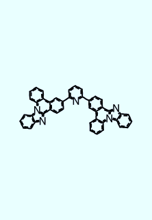 c1cc(-c2ccc3c(c2)c2ccccc2n2c4ccccc4nc32)nc(-c2ccc3c(c2)c2ccccc2n2c4ccccc4nc32)c1